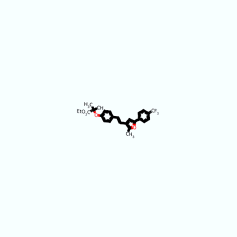 CCOC(=O)C(C)(C)Oc1ccc(/C=C/c2cc(-c3ccc(C(F)(F)F)cc3)oc2C)cc1